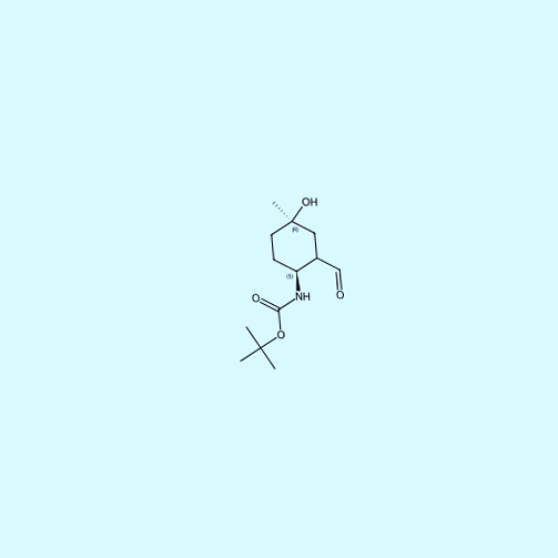 CC(C)(C)OC(=O)N[C@H]1CC[C@@](C)(O)CC1C=O